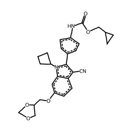 N#Cc1c(-c2ccc(NC(=O)OCC3CC3)cc2)n(C2CCC2)c2cc(OCC3COCO3)ccc12